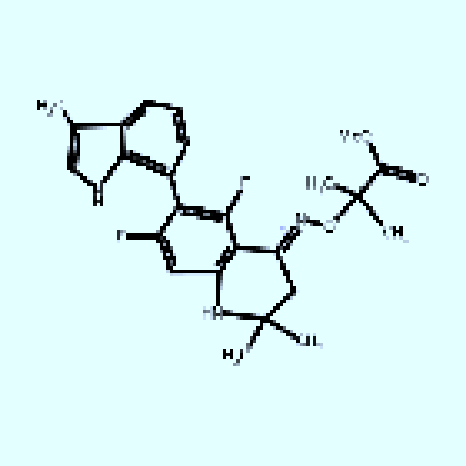 COC(=O)C(C)(C)O/N=C1\CC(C)(C)Nc2cc(F)c(-c3cccc4c(C)c[nH]c34)c(F)c21